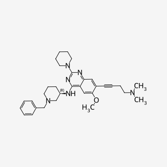 COc1cc2c(N[C@@H]3CCCN(Cc4ccccc4)C3)nc(N3CCCCC3)nc2cc1C#CCCN(C)C